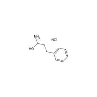 Cl.NC(O)CCc1ccccc1